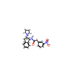 CN(C(=O)Cc1cccc([N+](=O)[O-])c1)[C@@H]1c2ccccc2C[C@H]1N1CCCC1